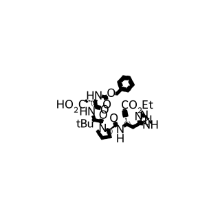 CCOC(=O)C#C[C@H](Cc1nnn[nH]1)NC(=O)[C@H]1CCCN1C(=O)C(NC(=O)[C@H](CC(=O)O)NC(=O)OCc1ccccc1)C(C)(C)C